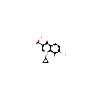 O=C(O)c1cn(C2CC2)c2c(F)c(Cl)ccc2c1=O